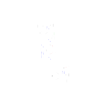 CC(CN(C)C(=O)c1nc[nH]c1C(=O)N[C@H]1CC[C@H](C(=O)N(C)c2ccccc2C)CC1)=C(Cl)N(C)C